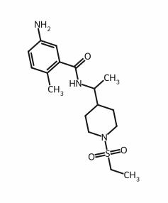 CCS(=O)(=O)N1CCC(C(C)NC(=O)c2cc(N)ccc2C)CC1